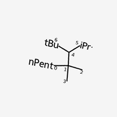 CCCCCC(C)(C)C([C](C)C)C(C)(C)C